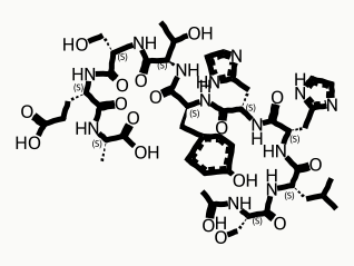 CC(=O)N[C@@H](CO)C(=O)N[C@@H](CC(C)C)C(=O)N[C@@H](Cc1ncc[nH]1)C(=O)N[C@@H](Cc1ncc[nH]1)C(=O)N[C@@H](Cc1ccc(O)cc1)C(=O)N[C@H](C(=O)N[C@@H](CO)C(=O)N[C@@H](CCC(=O)O)C(=O)N[C@@H](C)C(=O)O)C(C)O